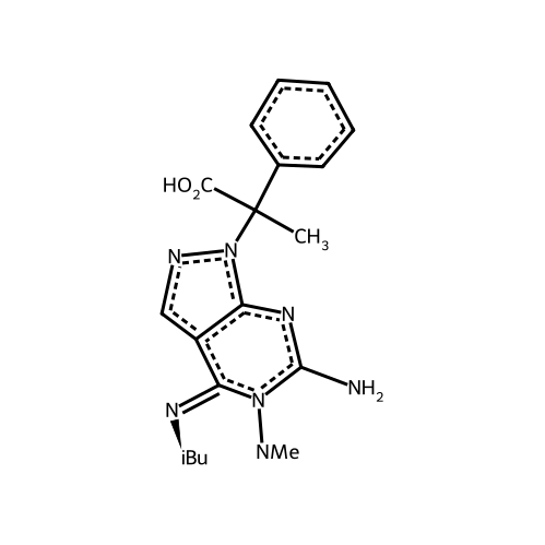 CC[C@H](C)/N=c1/c2cnn(C(C)(C(=O)O)c3ccccc3)c2nc(N)n1NC